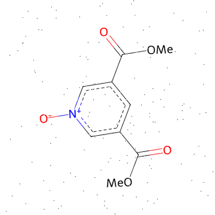 COC(=O)c1cc(C(=O)OC)c[n+]([O-])c1